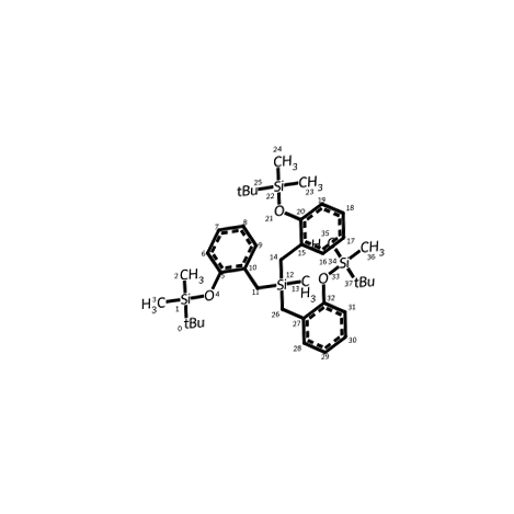 CC(C)(C)[Si](C)(C)Oc1ccccc1C[Si](C)(Cc1ccccc1O[Si](C)(C)C(C)(C)C)Cc1ccccc1O[Si](C)(C)C(C)(C)C